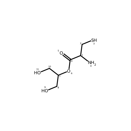 NC(CS)C(=O)OC(CO)CO